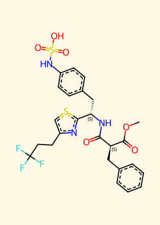 COC(=O)[C@@H](Cc1ccccc1)C(=O)N[C@@H](Cc1ccc(NS(=O)(=O)O)cc1)c1nc(CCC(F)(F)F)cs1